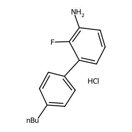 CCCCc1ccc(-c2cccc(N)c2F)cc1.Cl